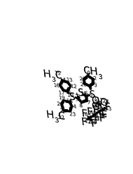 Cc1ccc(Sc2ccc([S+](c3ccc(C)cc3)c3ccc(C)cc3)s2)cc1.O=S(=O)([O-])C(F)(F)C(F)(F)C(F)(F)C(F)(F)F